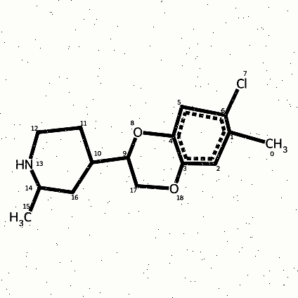 Cc1cc2c(cc1Cl)OC(C1CCNC(C)C1)CO2